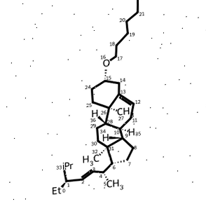 CC[C@H](/C=C/[C@@H](C)[C@H]1CC[C@H]2[C@@H]3CC=C4C[C@@H](OCCCCCCI)CC[C@]4(C)[C@H]3CC[C@]12C)C(C)C